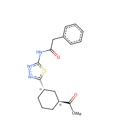 COC(=O)[C@H]1CCC[C@H](c2nnc(NC(=O)Cc3ccccc3)s2)C1